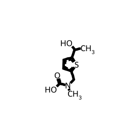 CC(O)c1ccc(CN(C)C(=O)O)s1